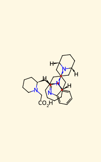 O=C(O)CN1CCCC[C@H]1Cc1nc2ccccc2n1[C@@H]1C[C@H]2CCC[C@@H](C1)N2[C@H]1C[C@@H]2CCCC[C@@H](C2)C1